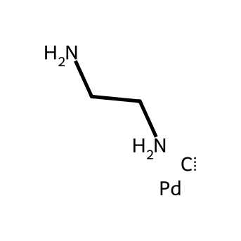 NCCN.[C].[Pd]